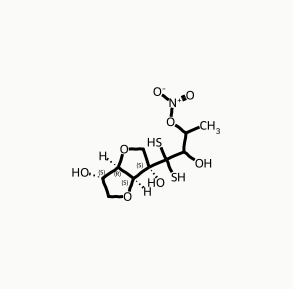 CC(O[N+](=O)[O-])C(O)C(S)(S)[C@]1(O)CO[C@@H]2[C@@H](O)CO[C@@H]21